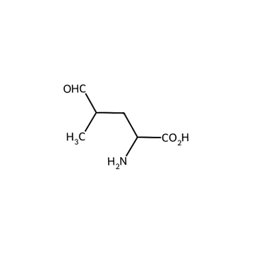 CC(C=O)CC(N)C(=O)O